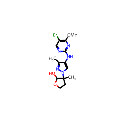 COc1nc(Nc2cn(C3(C)CCOC3O)nc2C)ncc1Br